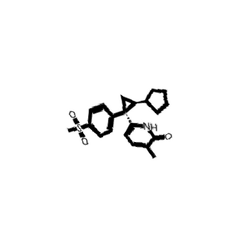 Cc1ccc([C@]2(c3ccc(S(C)(=O)=O)cc3)C[C@H]2C2CCCC2)[nH]c1=O